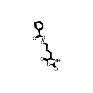 O=C1NC(CCCOOC(=O)c2ccccc2)C(=O)O1